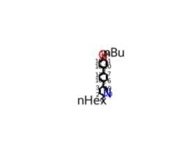 CCCCCCc1ccc(-c2ccc(-c3ccc(OCCCC)cc3)cc2)cn1